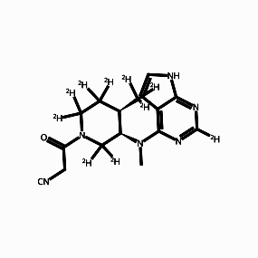 [2H]c1nc(N(C)[C@@H]2[C@H](C([2H])([2H])[2H])C([2H])([2H])C([2H])([2H])N(C(=O)C[N+]#[C-])C2([2H])[2H])c2cc[nH]c2n1